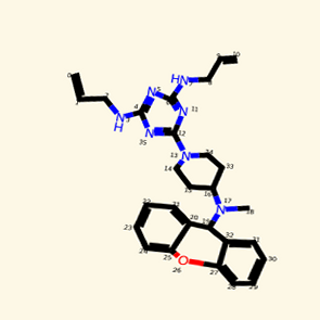 C=CCNc1nc(NCC=C)nc(N2CCC(N(C)C3c4ccccc4Oc4ccccc43)CC2)n1